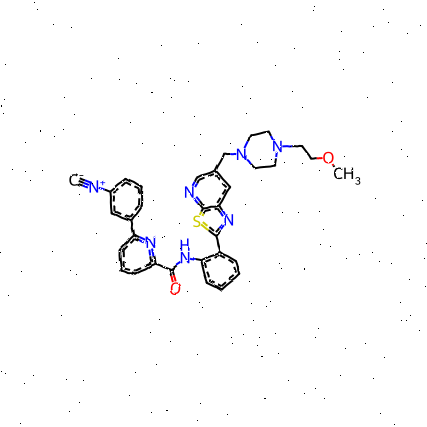 [C-]#[N+]c1cccc(-c2cccc(C(=O)Nc3ccccc3-c3nc4cc(CN5CCN(CCOC)CC5)cnc4s3)n2)c1